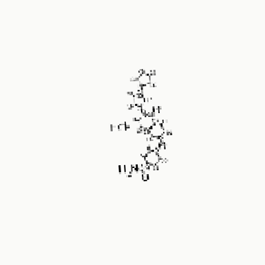 Cl.NC(=O)c1ccc(Oc2ccc3c(c2)CCN(C2CCN(C4CCCC4)C2)C3=O)cc1